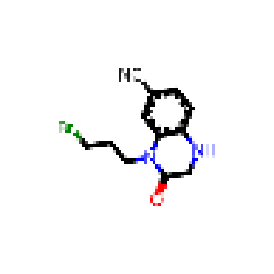 N#Cc1ccc2c(c1)N(CCCBr)C(=O)CN2